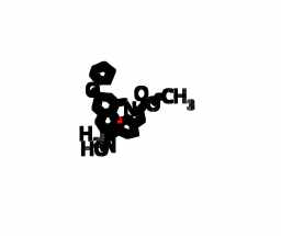 CCOC(=O)c1cc2ccc(/C(N)=N/O)cc2n1Cc1cc(Oc2ccccc2)cc2ccccc12